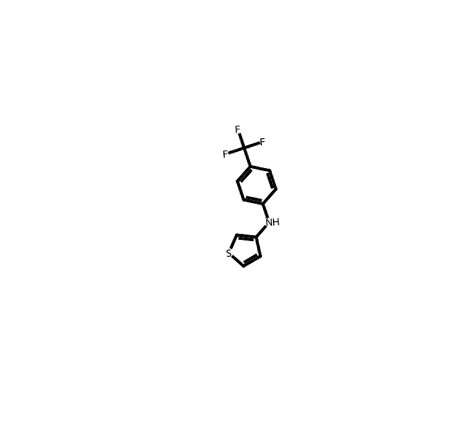 FC(F)(F)c1ccc(Nc2ccsc2)cc1